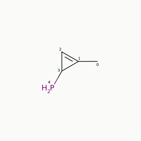 CC1=CC1P